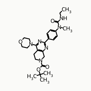 CCNC(=O)N(C)c1ccc(-c2nc3c(c(N4CCOCC4)n2)CCN(C(=O)OC(C)(C)C)C3)cc1